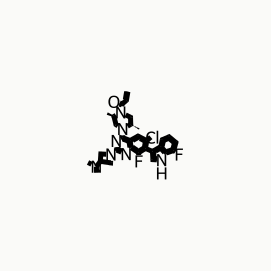 C=CC(=O)N1C[C@H](C)N(c2nc(N3CC(N(C)C)C3)nc3c(F)c(-c4c[nH]c5c(F)cccc45)c(Cl)cc23)C[C@H]1C